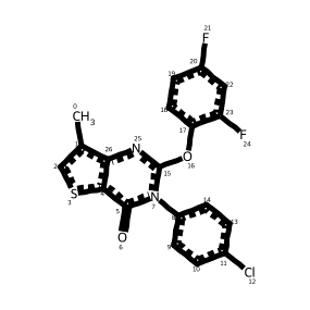 Cc1csc2c(=O)n(-c3ccc(Cl)cc3)c(Oc3ccc(F)cc3F)nc12